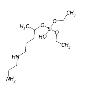 CCO[Si](O)(OCC)OC(C)CCCNCCN